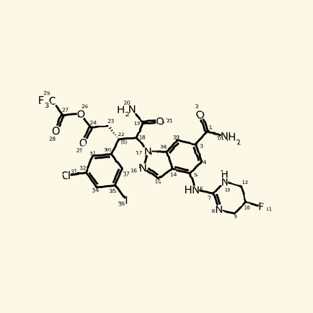 NC(=O)c1cc(NC2=NCC(F)CN2)c2cnn(C(C(N)=O)[C@@H](CC(=O)OC(=O)C(F)(F)F)c3cc(Cl)cc(I)c3)c2c1